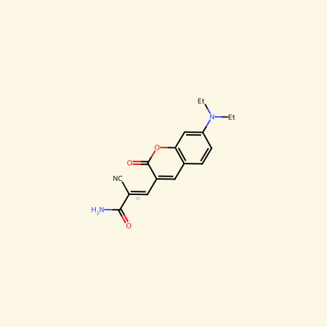 CCN(CC)c1ccc2cc(/C=C(\C#N)C(N)=O)c(=O)oc2c1